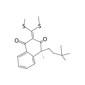 CSC(SC)=C1C(=O)c2ccccc2[C@](C)(CCC(C)(C)C)C1=O